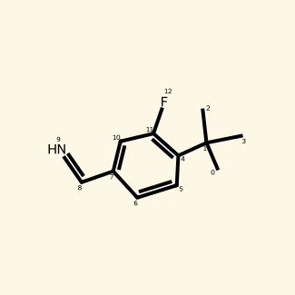 CC(C)(C)c1ccc(C=N)cc1F